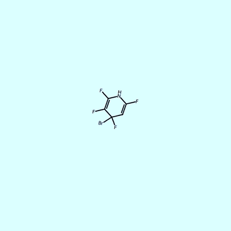 FC1=CC(F)(Br)C(F)=C(F)N1